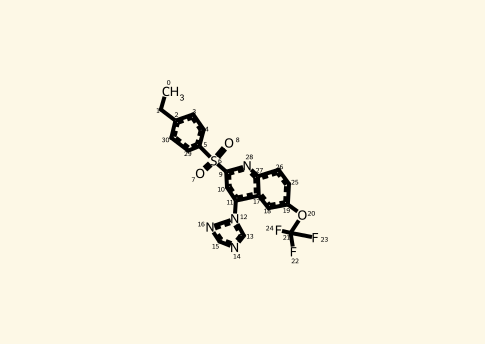 CCc1ccc(S(=O)(=O)c2cc(-n3cncn3)c3cc(OC(F)(F)F)ccc3n2)cc1